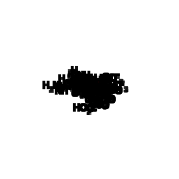 CC[C@H](C)[C@H](NC(=O)[C@@H](CCCNC(=N)N)NC(=O)[C@H](CC(C)C)NC(=O)[C@@H](N)[C@H](O)C(C)C)C(=O)N[C@H](C(=O)NCC(=O)N[C@H](C(=O)N[C@@H](COC(=O)C(F)(F)F)C(=O)Nc1cccc(C[C@H](NC(=O)[C@H](CC(C)(C)C)N(C(=O)OCc2ccccc2)C(=O)[C@H](N)CC(C)(C)C)C(=O)O)c1)[C@H](OC(=O)C(F)(F)F)C(N)=O)[C@H](C)O